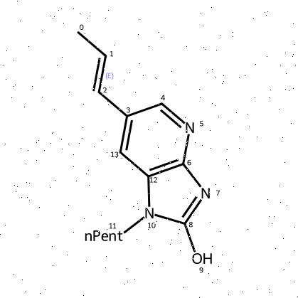 C/C=C/c1cnc2nc(O)n(CCCCC)c2c1